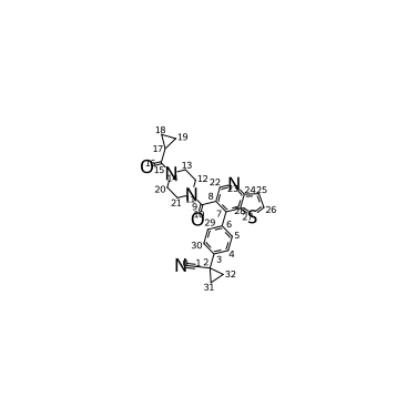 N#CC1(c2ccc(-c3c(C(=O)N4CCN(C(=O)C5CC5)CC4)cnc4ccsc34)cc2)CC1